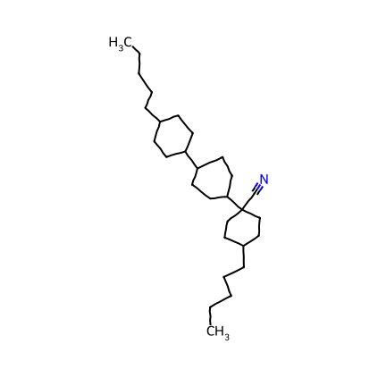 CCCCCC1CCC(C2CCC(C3(C#N)CCC(CCCCC)CC3)CC2)CC1